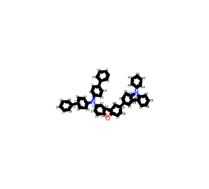 c1ccc(-c2ccc(N(c3ccc(-c4ccccc4)cc3)c3ccc4oc5ccc(-c6ccc7c(c6)c6ccccc6n7-c6ccccc6)cc5c4c3)cc2)cc1